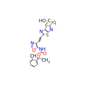 Cc1ccccc1C(C)OC(=O)Nc1ocnc1C#Cc1nc2sc(C3(C(=O)O)CC3)nc2s1